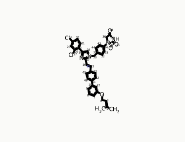 CC(C)=CCOc1cccc(-c2ccc(/C=C/c3nc(-c4ccc(Cl)cc4Cl)cn3Cc3ccc(N4CC(=O)NS4(=O)=O)cc3)cc2)c1